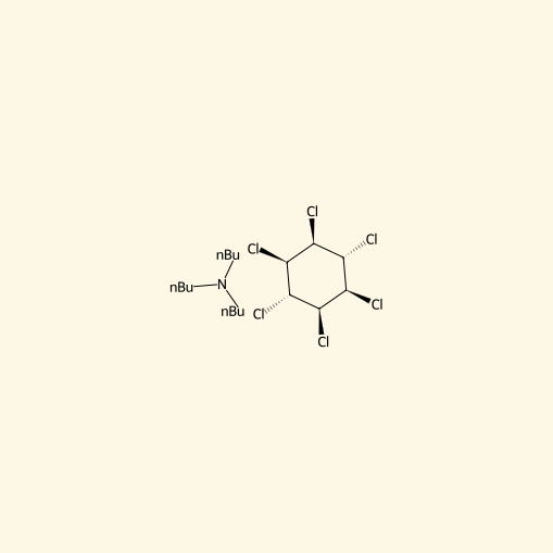 CCCCN(CCCC)CCCC.Cl[C@H]1[C@H](Cl)[C@@H](Cl)[C@@H](Cl)[C@H](Cl)[C@H]1Cl